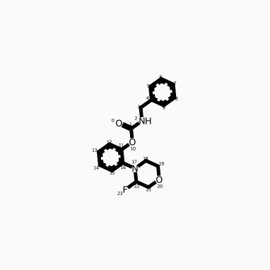 O=C(NCc1ccccc1)Oc1ccccc1N1CCOCC1F